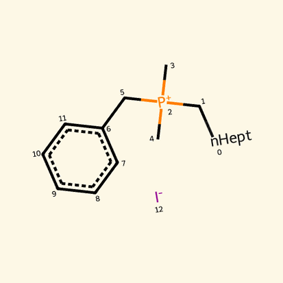 CCCCCCCC[P+](C)(C)Cc1ccccc1.[I-]